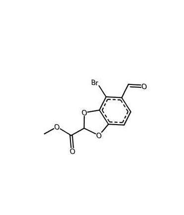 COC(=O)C1Oc2ccc(C=O)c(Br)c2O1